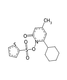 Cc1cc(C2CCCCC2)n(OS(=O)(=O)c2cccs2)c(=O)c1